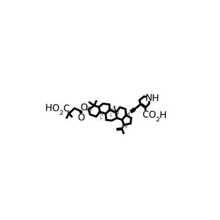 C=C(C)[C@@H]1CC[C@]2(C#CC3=C(C(=O)O)CNCC3)CC[C@]3(C)C(CCC4[C@@]5(C)CC[C@H](OC(=O)CC(C)(C)C(=O)O)C(C)(C)C5CC[C@]43C)C12